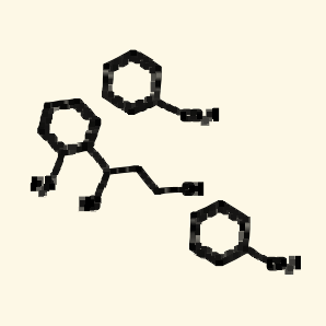 Nc1ccccc1C(O)CCO.O=C(O)c1ccccc1.O=C(O)c1ccccc1